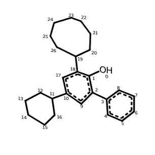 Oc1c(-c2ccccc2)cc(C2CCCCC2)cc1C1CCCCCCC1